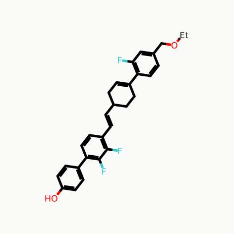 CCOCc1ccc(C2=CCC(/C=C/c3ccc(-c4ccc(O)cc4)c(F)c3F)CC2)c(F)c1